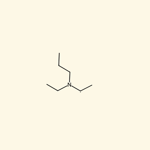 C[CH]N(CC)CCC